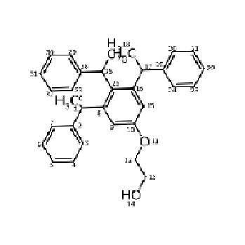 CC(c1ccccc1)c1cc(OCCO)cc(C(C)c2ccccc2)c1C(C)c1ccccc1